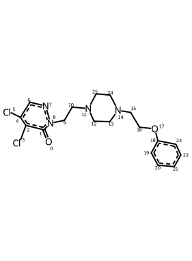 O=c1c(Cl)c(Cl)cnn1CCN1CCN(CCOc2ccccc2)CC1